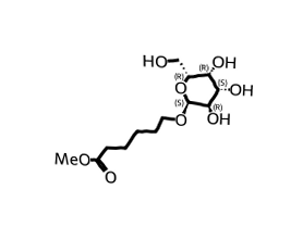 COC(=O)CCCCCO[C@H]1O[C@H](CO)[C@H](O)[C@H](O)[C@H]1O